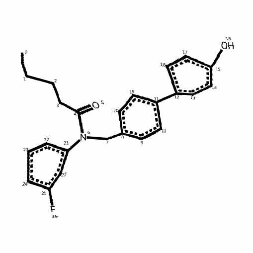 CCCCC(=O)N(Cc1ccc(-c2ccc(O)cc2)cc1)c1cccc(F)c1